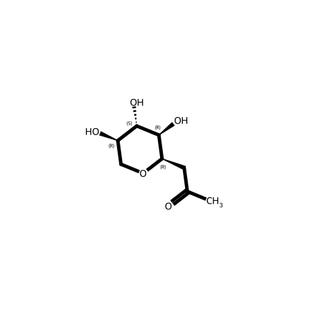 CC(=O)C[C@H]1OC[C@@H](O)[C@H](O)[C@H]1O